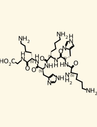 NCCCC[C@H](NC(=O)[C@H](Cc1c[nH]cn1)NC(=O)[C@H](CCCCN)NC(=O)[C@H](Cc1c[nH]cn1)NC(=O)[C@@H](N)CCCCN)C(=O)NCC(=O)O